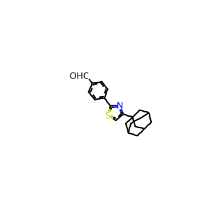 O=Cc1ccc(-c2nc(C34CC5CC(CC(C5)C3)C4)cs2)cc1